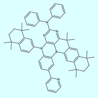 CC1(C)CCC(C)(C)c2cc(N3c4ccc(-c5ccccn5)cc4B4c5cc6c(cc5C(C)(C)c5nc(N(c7ccccc7)c7ccccc7)nc3c54)C(C)(C)CCC6(C)C)ccc21